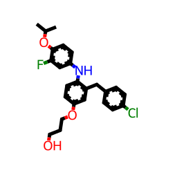 CC(C)Oc1ccc(Nc2ccc(OCCCO)cc2Cc2ccc(Cl)cc2)cc1F